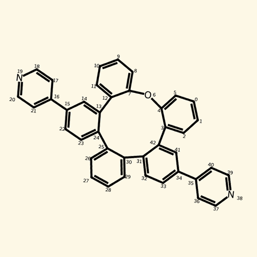 c1ccc2c(c1)Oc1ccccc1-c1cc(-c3ccncc3)ccc1-c1ccccc1-c1ccc(-c3ccncc3)cc1-2